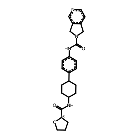 O=C(NC1CCC(c2ccc(NC(=O)N3Cc4ccncc4C3)cc2)CC1)[C@H]1CCCO1